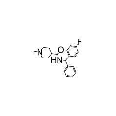 CN1CCC(C(=O)NC(c2ccccc2)c2ccc(F)cc2)CC1